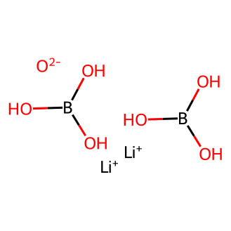 OB(O)O.OB(O)O.[Li+].[Li+].[O-2]